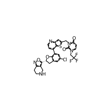 O=c1ccn(CC(F)(F)F)c(=O)n1Cc1cc2nccc(-c3cc(Cl)cc4c3O[C@@H](c3onc5c3CNCC5)C4)c2s1